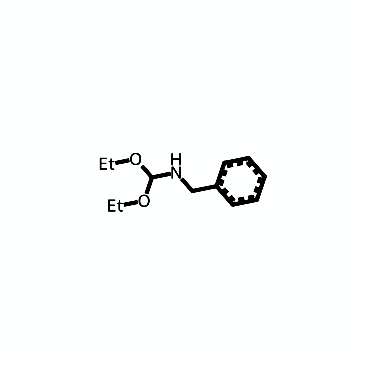 CCOC(NCc1ccccc1)OCC